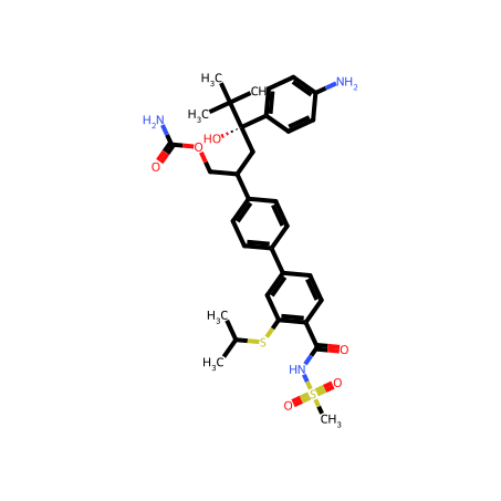 CC(C)Sc1cc(-c2ccc(C(COC(N)=O)C[C@](O)(c3ccc(N)cc3)C(C)(C)C)cc2)ccc1C(=O)NS(C)(=O)=O